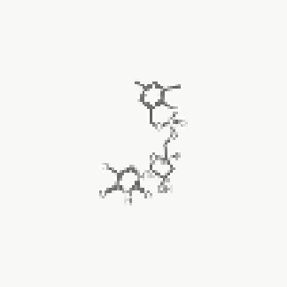 Cc1cc(C)c2c(c1)COP(=O)(OC[C@]1(F)C[C@@H](O)[C@H](n3cc(Cl)c(=O)[nH]c3=O)O1)O2